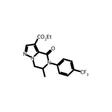 CCOC(=O)c1cnn2c1C(=O)N(c1ccc(C(F)(F)F)cc1)C(C)C2